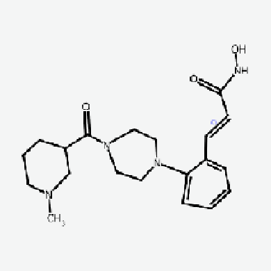 CN1CCCC(C(=O)N2CCN(c3ccccc3/C=C/C(=O)NO)CC2)C1